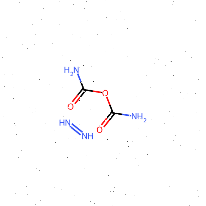 N=N.NC(=O)OC(N)=O